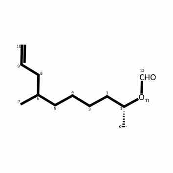 [CH2][C@H](CCCCC(C)CC=C)OC=O